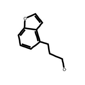 [O]CCCc1cccc2occc12